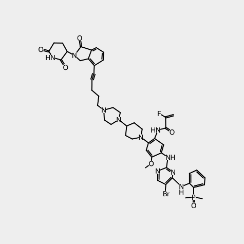 C=C(F)C(=O)Nc1cc(Nc2ncc(Br)c(Nc3ccccc3P(C)(C)=O)n2)c(OC)cc1N1CCC(N2CCN(CCCC#Cc3cccc4c3CN(C3CCC(=O)NC3=O)C4=O)CC2)CC1